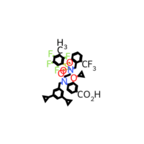 Cc1c(F)c(F)c(F)c(S(=O)(=O)N(CC(=O)N(Cc2cc(C3CC3)cc(C3CC3)c2)c2ccc(C(=O)O)cc2OC2CC2)Cc2ccccc2C(F)(F)F)c1F